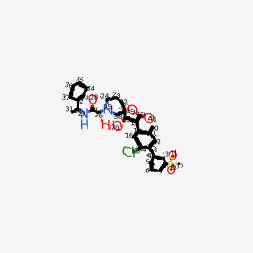 Cc1cc(-c2cccc(S(C)(=O)=O)c2)c(Cl)cc1C1=C(O)C2(CCCN(CC(=O)NC(C)c3ccccc3)C2)OC1=O